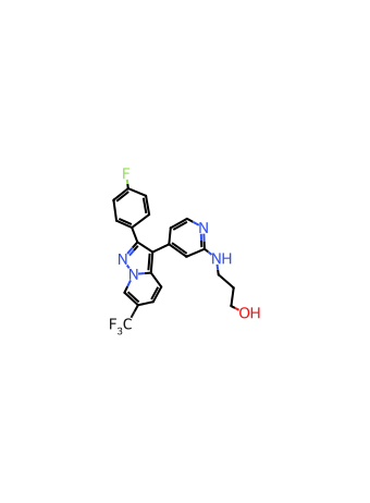 OCCCNc1cc(-c2c(-c3ccc(F)cc3)nn3cc(C(F)(F)F)ccc23)ccn1